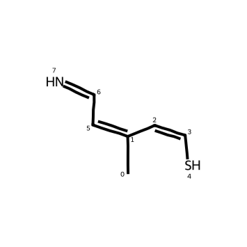 CC(/C=C\S)=C/C=N